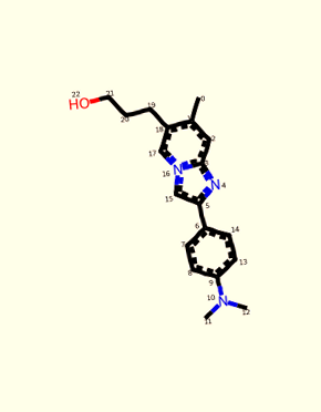 Cc1cc2nc(-c3ccc(N(C)C)cc3)cn2cc1CCCO